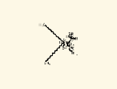 CCCCCCCCCCCCCCCC(=O)C(O)(C(=O)CCCCCCCCCCCCCCC)C(O)CO.Nc1ccn([C@H]2CC[C@@H](COP(=O)(O)OP(=O)(O)O)O2)c(=O)n1